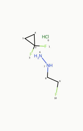 Cl.FC1(F)CC1.NNCCF